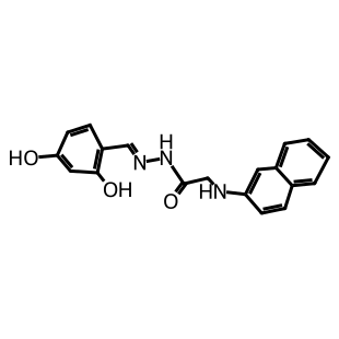 O=C(CNc1ccc2ccccc2c1)N/N=C/c1ccc(O)cc1O